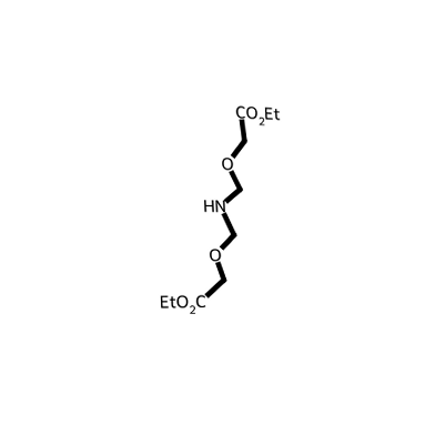 CCOC(=O)COCNCOCC(=O)OCC